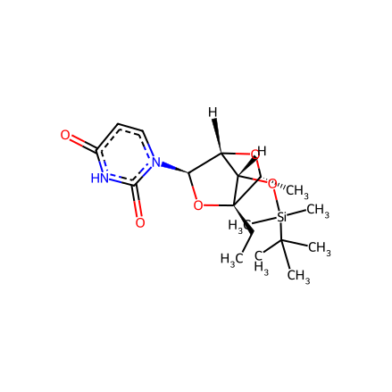 CC[C@]12O[C@@H](n3ccc(=O)[nH]c3=O)[C@H](O[C@@H]1C)[C@@H]2O[Si](C)(C)C(C)(C)C